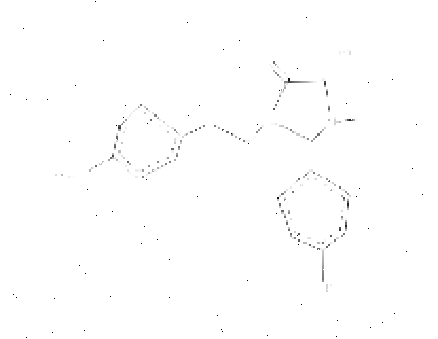 COc1ccc(CCN2C(=O)[C@H](C(C)C)N(C)[C@@H]2c2ccc(C(C)(C)C)cc2)cc1